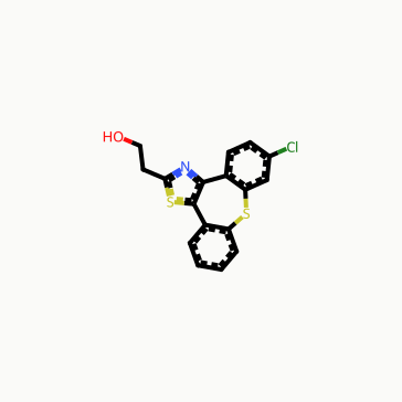 OCCc1nc2c(s1)-c1ccccc1Sc1cc(Cl)ccc1-2